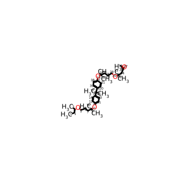 CCC(C)OCCCC(C)(C)Oc1ccc(C(C)(C)c2ccc(OC(C)(C)CCCOC(C)(C)CC3CO3)cc2)cc1